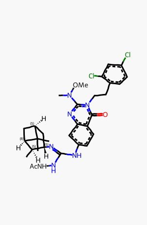 CON(C)c1nc2cc(NC(=N[C@H]3C[C@@H]4C[C@H]([C@@H]3C)C4(C)C)NNC(C)=O)ccc2c(=O)n1CCc1ccc(Cl)cc1Cl